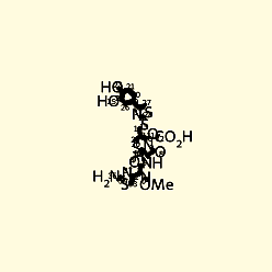 CON=C(C(=O)N[C@@H]1C(=O)N2C(OC(=O)O)=C(CSc3nc(-c4ccc(O)c(O)c4)cs3)CS[C@@H]12)c1csc(N)n1